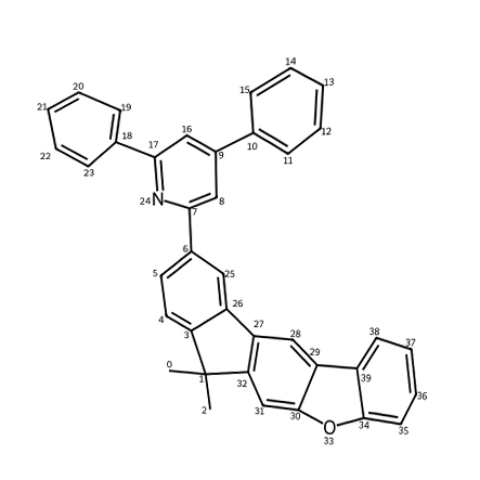 CC1(C)c2ccc(-c3cc(-c4ccccc4)cc(-c4ccccc4)n3)cc2-c2cc3c(cc21)oc1ccccc13